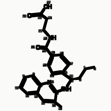 CCC[C@@H](Nc1nc2ccccc2cc1C)c1ccc(C(=O)NCCC(=O)O)cc1